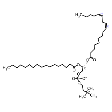 CCCC/C=C\C/C=C\CCCCCCCC(=O)OC[C@H](COP(=O)([O-])OCC[N+](C)(C)C)OC(=O)CCCCCCCCCCCCCCCC